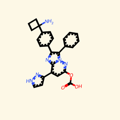 NC1(c2ccc(-c3nc4c(-c5cc[nH]n5)cc(OC(=O)O)nn4c3-c3ccccc3)cc2)CCC1